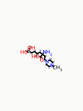 CN1CCN(CCC(N)(CCCCB(O)O)C(=O)O)CC1